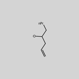 C=CCC([O])CCCC